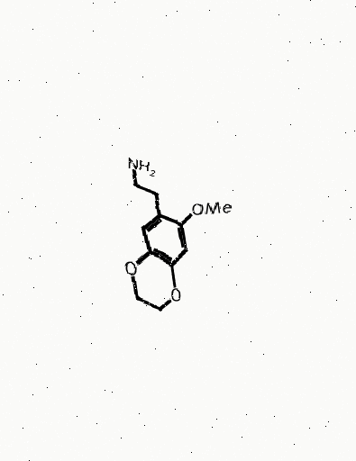 COc1cc2c(cc1CCN)OCCO2